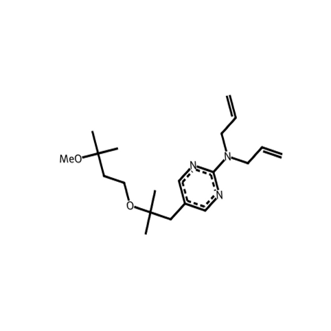 C=CCN(CC=C)c1ncc(CC(C)(C)OCCC(C)(C)OC)cn1